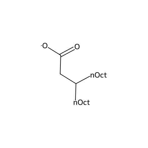 CCCCCCCCC(CCCCCCCC)CC([O])=O